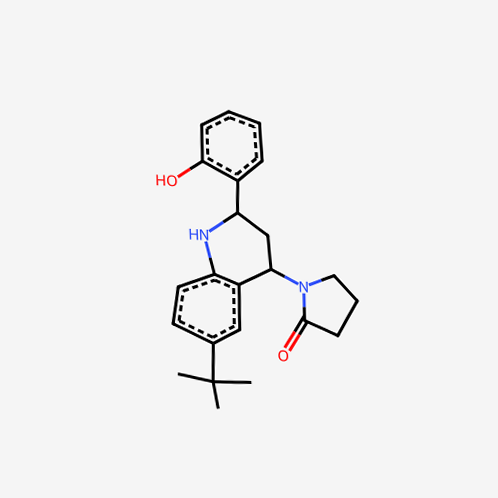 CC(C)(C)c1ccc2c(c1)C(N1CCCC1=O)CC(c1ccccc1O)N2